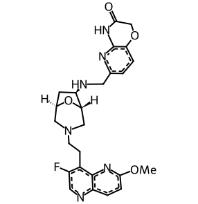 COc1ccc2ncc(F)c(CCN3C[C@H]4C[C@@H](NCc5ccc6c(n5)NC(=O)CO6)[C@H](C3)O4)c2n1